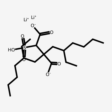 CCCCC(CC)CC(CC(CC)CCCC)(C(=O)[O-])C(C(=O)[O-])S(=O)(=O)O.[Li+].[Li+]